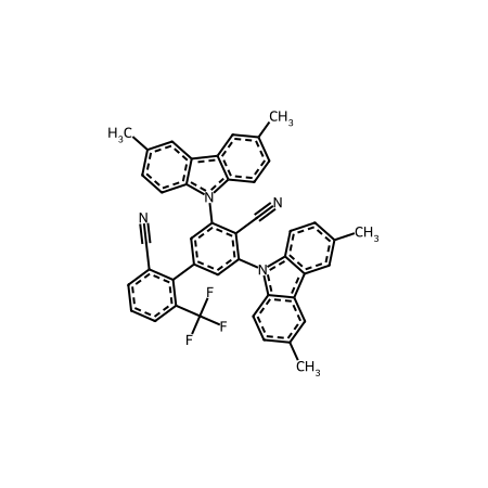 Cc1ccc2c(c1)c1cc(C)ccc1n2-c1cc(-c2c(C#N)cccc2C(F)(F)F)cc(-n2c3ccc(C)cc3c3cc(C)ccc32)c1C#N